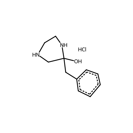 Cl.OC1(Cc2ccccc2)CNCCN1